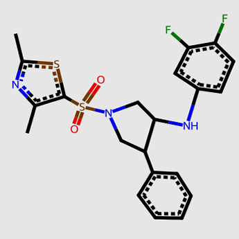 Cc1nc(C)c(S(=O)(=O)N2CC(Nc3ccc(F)c(F)c3)C(c3ccccc3)C2)s1